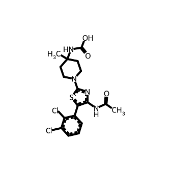 CC(=O)Nc1nc(N2CCC(C)(NC(=O)O)CC2)sc1-c1cccc(Cl)c1Cl